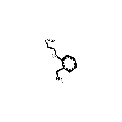 CCCCCCCCPc1ccccc1CN